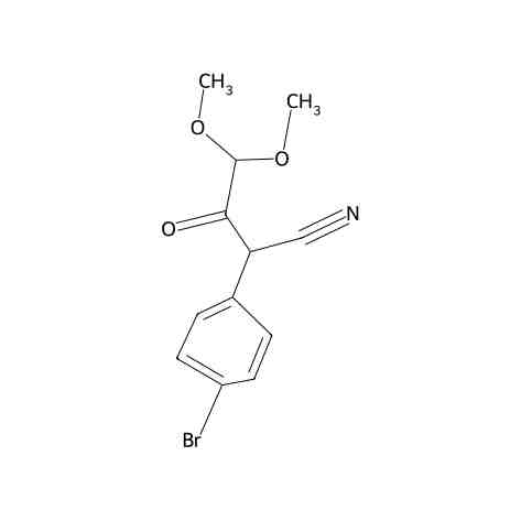 COC(OC)C(=O)C(C#N)c1ccc(Br)cc1